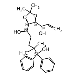 C=C[C@H](O)[C@@H]1OC(C)(C)O[C@@H]1[C@H](O)CCC(C)(C)[Si](O)(c1ccccc1)c1ccccc1